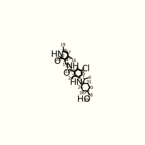 CCC1(Nc2cc(Cl)cc(C(=O)NCc3c(C)cc(C)[nH]c3=O)c2C)CCC(CO)CC1